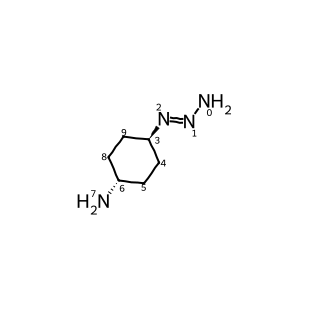 NN=N[C@H]1CC[C@H](N)CC1